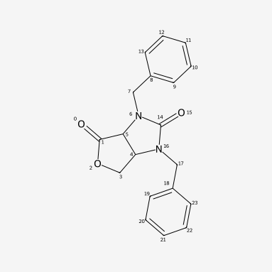 O=C1OCC2C1N(Cc1ccccc1)C(=O)N2Cc1ccccc1